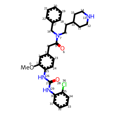 COc1cc(CC(=O)N(CCC2CCNCC2)Cc2ccccc2)ccc1NC(=O)Nc1ccccc1Cl